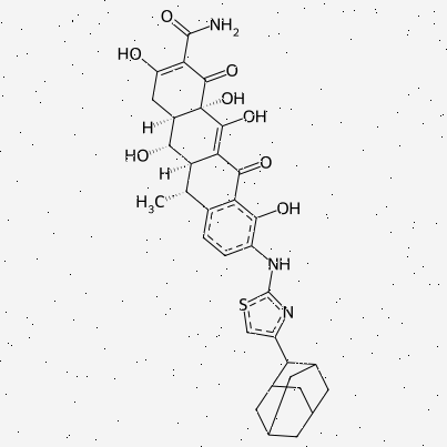 C[C@H]1c2ccc(Nc3nc(C4C5CC6CC(C5)CC4C6)cs3)c(O)c2C(=O)C2=C(O)[C@]3(O)C(=O)C(C(N)=O)=C(O)C[C@@H]3[C@@H](O)[C@@H]21